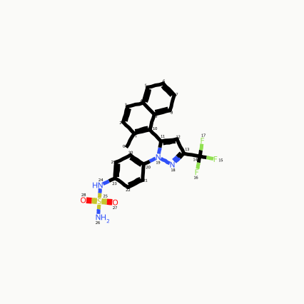 Cc1ccc2ccccc2c1-c1cc(C(F)(F)F)nn1-c1ccc(NS(N)(=O)=O)cc1